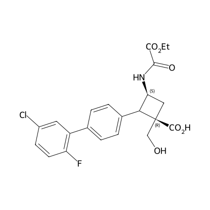 CCOC(=O)C(=O)N[C@H]1C[C@@](CO)(C(=O)O)C1c1ccc(-c2cc(Cl)ccc2F)cc1